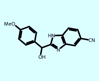 COc1ccc(C(O)c2nc3cc(C#N)ccc3[nH]2)cc1